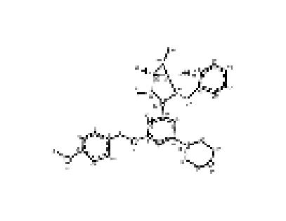 COc1ccc(COc2cc(N3CCOCC3)cc(N3[C@@H](C)[C@H]4[C@@H](C)[C@H]4[C@@H]3Cc3ccccc3)n2)cc1